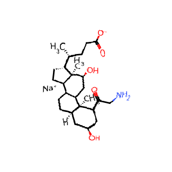 C[C@H](CCC(=O)[O-])[C@H]1CCC2C3CC[C@@H]4C[C@H](O)CC(C(=O)CN)[C@]4(C)C3C[C@H](O)[C@@]21C.[Na+]